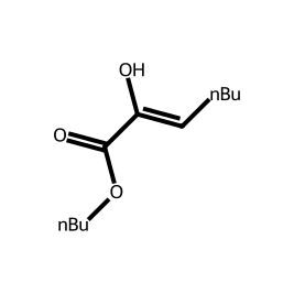 CCCCC=C(O)C(=O)OCCCC